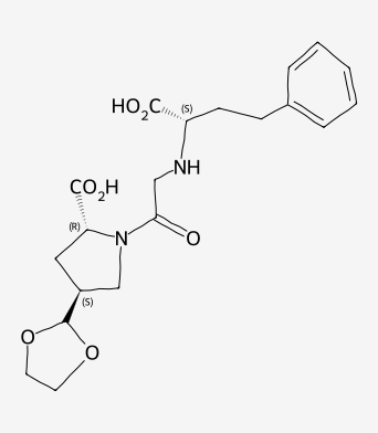 O=C(O)[C@H](CCc1ccccc1)NCC(=O)N1C[C@@H](C2OCCO2)C[C@@H]1C(=O)O